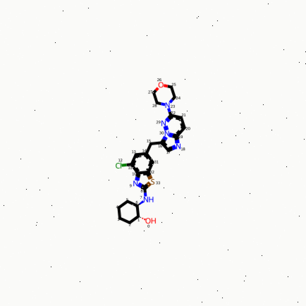 O[C@@H]1CCCC[C@H]1Nc1nc2c(Cl)cc(Cc3cnc4ccc(N5CCOCC5)nn34)cc2s1